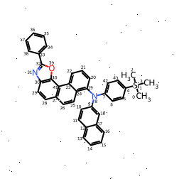 C[Si](C)(C)c1ccc(N(c2ccc3ccccc3c2)c2cccc3c2ccc2ccc4nc(-c5ccccc5)oc4c23)cc1